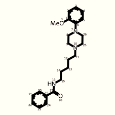 COc1ccccc1N1CCN(CCCCCNC(=O)c2ccccc2)CC1